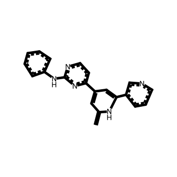 C=C1C=C(c2ccnc(Nc3ccccc3)n2)C=C(c2cccnc2)N1